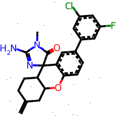 C=C1CCC2C(C1)Oc1ccc(-c3cc(F)cc(Cl)c3)cc1C21N=C(N)N(C)C1=O